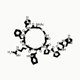 CNC(=O)[C@H](Cc1c[nH]cn1)NC(=O)[C@@H]1CCCN1C(=O)[C@@H]1CCCN1C(=O)[C@@H]1CC(=O)NCCC[C@H](NC(C)=O)C(=O)N[C@@H](Cc2c[nH]cn2)C(=O)N[C@H](Cc2ccccc2)C(=O)N[C@@H](CCCNC(=N)N)C(=O)N[C@@H](Cc2c[nH]c3ccccc23)C(=O)N1